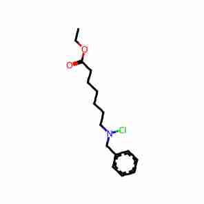 CCOC(=O)CCCCCCN(Cl)Cc1ccccc1